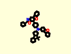 CC1(C)c2ccccc2-c2ccc(N(c3ccc(-c4c5oc(-c6ccccc6)nc5cc5c4oc4ccccc45)cc3)c3ccc4oc5ccccc5c4c3)cc21